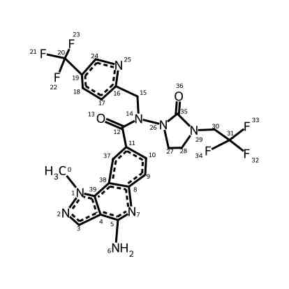 Cn1ncc2c(N)nc3ccc(C(=O)N(Cc4ccc(C(F)(F)F)cn4)N4CCN(CC(F)(F)F)C4=O)cc3c21